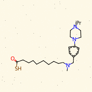 CC(C)N1CCN(c2ccc(CN(C)CCCCCCCCCC(=O)S)cc2)CC1